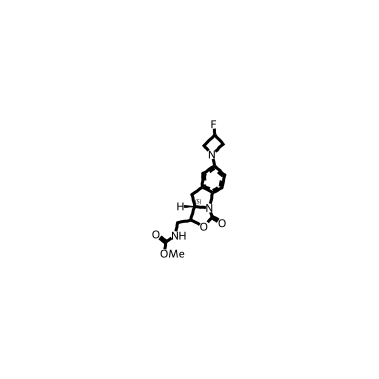 COC(=O)NCC1OC(=O)N2c3ccc(N4CC(F)C4)cc3C[C@@H]12